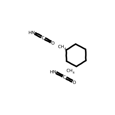 C.C.C1CCCCC1.N=C=O.N=C=O